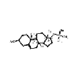 CC(=O)OC1CC[C@@]2(C)C(=CC[C@H]3[C@@H]4CC[C@H](O[Si](C)(C)C(C)(C)C)[C@@]4(C)CC[C@@H]32)C1